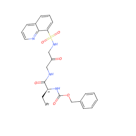 CC(C)C[C@H](NC(=O)OCc1ccccc1)C(=O)NCC(=O)CNS(=O)(=O)c1cccc2cccnc12